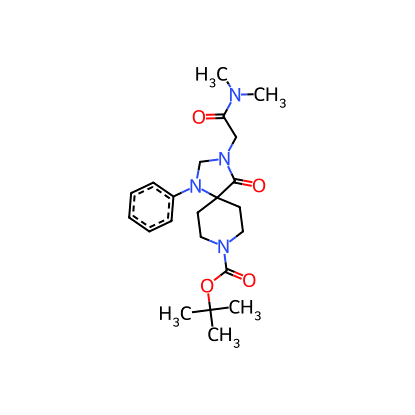 CN(C)C(=O)CN1CN(c2ccccc2)C2(CCN(C(=O)OC(C)(C)C)CC2)C1=O